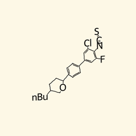 CCCCC1CCC(c2ccc(-c3cc(F)c(N=C=S)c(Cl)c3)cc2)OC1